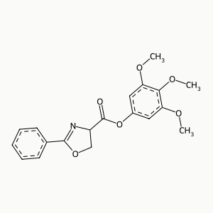 COc1cc(OC(=O)C2COC(c3ccccc3)=N2)cc(OC)c1OC